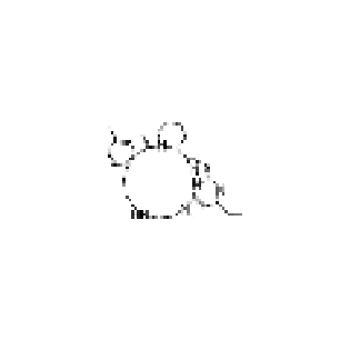 C=C1c2cc(C)ccc2CCCNCCN(C)c2cc(C3CCC3)nc3cc(nn23)C2CCCCN12